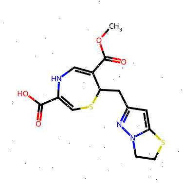 COC(=O)C1=CNC(C(=O)O)=CSC1Cc1cc2n(n1)CCS2